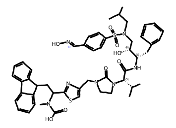 CC(C)CN(C[C@@H](O)[C@H](Cc1ccccc1)NC(=O)[C@H](C(C)C)N1CCN(Cc2csc(C(CC3c4ccccc4-c4ccccc43)N(C)C(=O)O)n2)C1=O)S(=O)(=O)c1ccc(/C=N/O)cc1